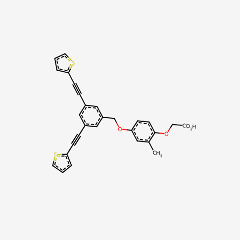 Cc1cc(OCc2cc(C#Cc3cccs3)cc(C#Cc3cccs3)c2)ccc1OCC(=O)O